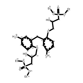 CCOP(=O)(CC(O)COc1ccc(C)cc1Cc1cc(C)ccc1OCC(O)CP(=O)(OCC)OCC)OCC